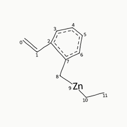 C=Cc1ccccc1[CH2][Zn][CH2]C